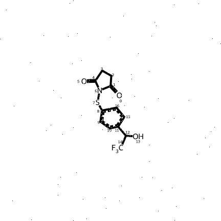 O=C1CCC(=O)N1Sc1ccc(C(O)C(F)(F)F)cc1